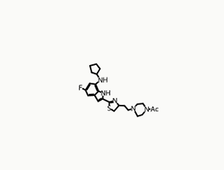 CC(=O)N1CCN(CCC2CSC(c3cc4cc(F)cc(NC5CCCC5)c4[nH]3)=N2)CC1